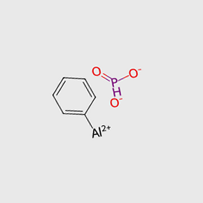 O=[PH]([O-])[O-].[Al+2][c]1ccccc1